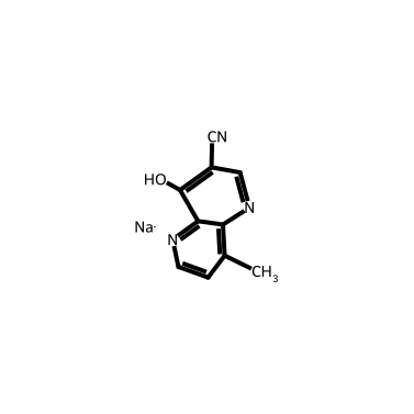 Cc1ccnc2c(O)c(C#N)cnc12.[Na]